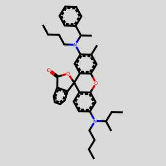 CCCCN(c1ccc2c(c1)Oc1cc(C)c(N(CCCC)C(C)c3ccccc3)cc1C21OC(=O)c2ccccc21)C(C)CC